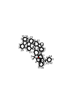 CC1(C)c2ccccc2-c2ccc(N(c3cccc4c3-c3ccccc3C43c4ccccc4-c4ccccc43)c3cccc4oc5ccc(-c6ccc7c8ccccc8n(-c8ccccc8)c7c6)cc5c34)cc21